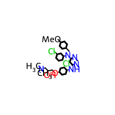 COc1ccc(CN(c2cc(Nc3ccc(OCC(O)CN(C)C)cc3)ncn2)c2cc(Cl)ccc2Cl)cc1